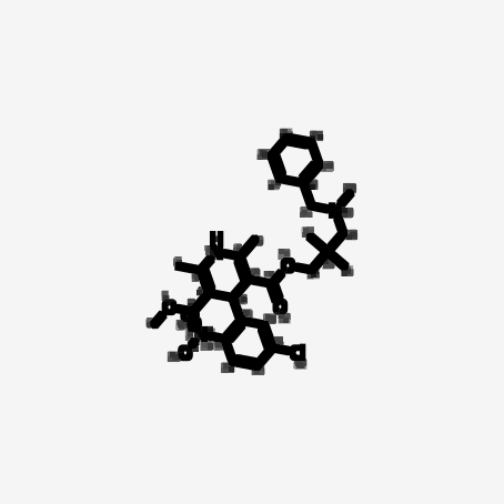 COC(=O)C1=C(C)NC(C)=C(C(=O)OCC(C)(C)CN(C)Cc2ccccc2)C1c1cc(Cl)ccc1[N+](=O)[O-]